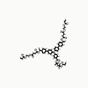 C=CC(=O)OCCOC(=O)CCC(=O)OC(C)c1ccc(-c2ccc(N(c3ccc(C(=O)OC(C)(C)CC(C)(C)OC(=O)C=C)cc3)c3ccc(-c4ccc(C(C)OC(=O)CCC(=O)OCCOC(=O)C=C)cc4)cc3)cc2)cc1